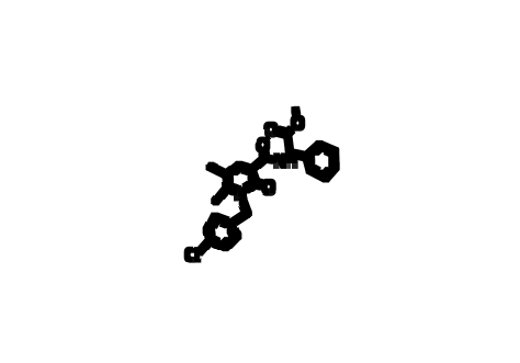 COC(=O)[C@@H](NC(=O)c1cc(C)c(C)n(Cc2ccc(Cl)cc2)c1=O)c1ccccc1